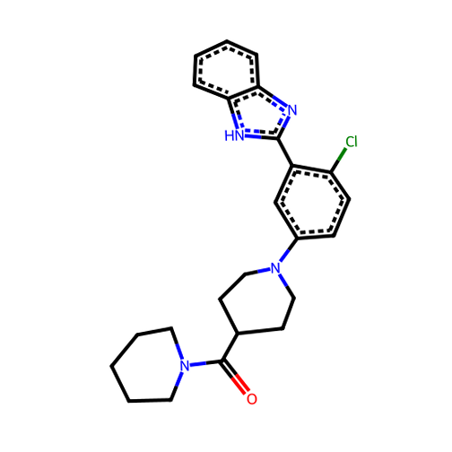 O=C(C1CCN(c2ccc(Cl)c(-c3nc4ccccc4[nH]3)c2)CC1)N1CCCCC1